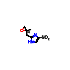 C[C@]1(Cc2nc([N+](=O)[O-])c[nH]2)CO1